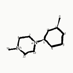 C[C@H]1CCC[C@@H](N2CCN(C)CC2)C1